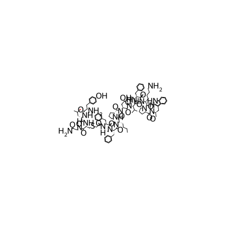 CCCC[C@@H](C(=O)N1CCC[C@@H]1C(=O)N[C@@H](CC(=O)O)C(=O)N[C@H](C(=O)N(C)[C@@H](Cc1ccccc1)C(=O)N[C@@H](CCCCN)C(=O)N1CCC[C@@H]1C(=O)N[C@H](C=O)Cc1c[nH]c2ccccc12)C(C)C)N(C)C(=O)[C@H](Cc1ccccc1)N(C)C(=O)[C@H](Cc1ccccc1)NC(=O)CSC[C@H](NC(=O)[C@H](CC(C)C)NC(=O)[C@@H](N)Cc1ccc(O)cc1)C(=O)NCC(N)=O